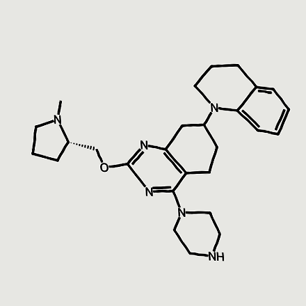 CN1CCC[C@H]1COc1nc2c(c(N3CCNCC3)n1)CCC(N1CCCc3ccccc31)C2